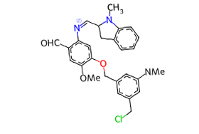 CNc1cc(CCl)cc(COc2cc(/N=C\C3Cc4ccccc4N3C)c(C=O)cc2OC)c1